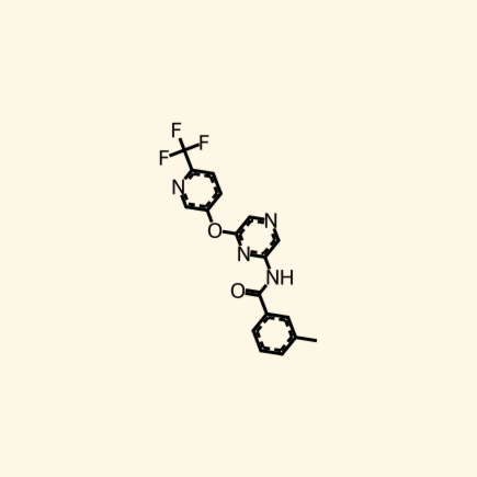 Cc1cccc(C(=O)Nc2cncc(Oc3ccc(C(F)(F)F)nc3)n2)c1